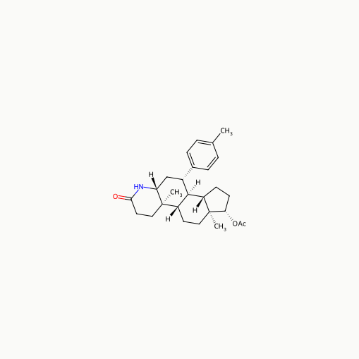 CC(=O)O[C@H]1CC[C@H]2[C@@H]3[C@@H](c4ccc(C)cc4)C[C@H]4NC(=O)CC[C@]4(C)[C@H]3CC[C@]12C